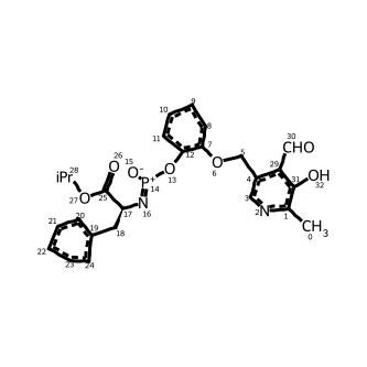 Cc1ncc(COc2ccccc2O[P+]([O-])=N[C@@H](Cc2ccccc2)C(=O)OC(C)C)c(C=O)c1O